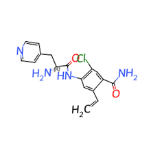 C=Cc1cc(NC(=O)[C@H](N)Cc2ccncc2)c(Cl)cc1C(N)=O